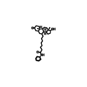 C[C@]12CCC(=O)CC1CC(CCCCCCCC(=O)Nc1ccccc1)[C@@H]1[C@H]2CC[C@]2(C)C(O)CC[C@@H]12